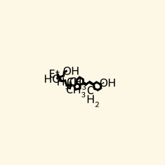 C=C1CC[C@H](O)C/C1=C/C=C1CCC[C@@]2(C)C1CC[C@@H]2C(C)(C)CCCC(O)(CC)CCO